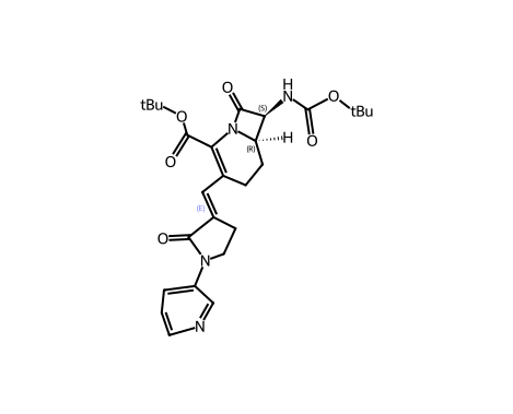 CC(C)(C)OC(=O)N[C@@H]1C(=O)N2C(C(=O)OC(C)(C)C)=C(/C=C3\CCN(c4cccnc4)C3=O)CC[C@H]12